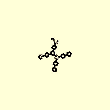 C=N/C(=N\C=C/C)c1ccc(-c2cc(-c3ccc(-c4ncccn4)cc3)cc(-c3nc(C4=CCC(c5ccccc5)C=C4)nc(-c4ccc(-c5ccccc5)cc4)n3)c2)cc1